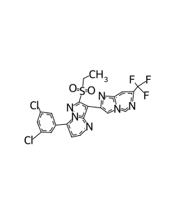 CCS(=O)(=O)c1nn2c(-c3cc(Cl)cc(Cl)c3)ccnc2c1-c1cn2cnc(C(F)(F)F)cc2n1